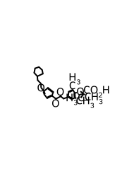 Cc1cc(CC(=O)C(=O)c2ccc(OCCC3CCCCC3)cc2)cc(C)c1OC(C)(C)C(=O)O